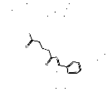 CC(=O)CCCC(=O)/C=C/c1ccccc1